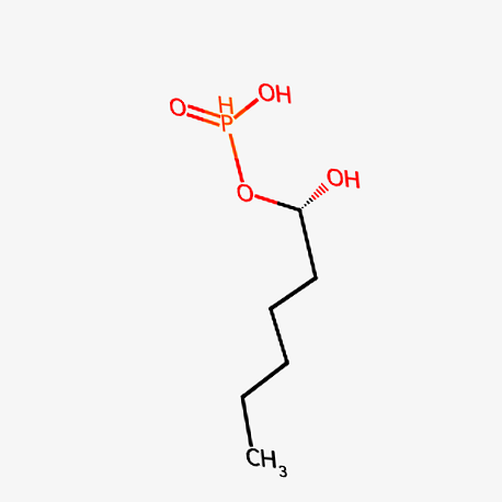 CCCCC[C@@H](O)O[PH](=O)O